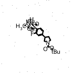 CC(C)(C)OC(=O)N1CCC(c2ccc(S(=O)(=O)N[Si](C)(C)C(C)(C)C)c(F)c2)C1